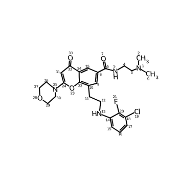 CN(C)CCNC(=O)c1cc(CCNc2cccc(Cl)c2F)c2oc(N3CCOCC3)cc(=O)c2c1